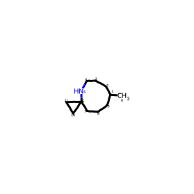 CC1CCCNC2(CCC1)CC2